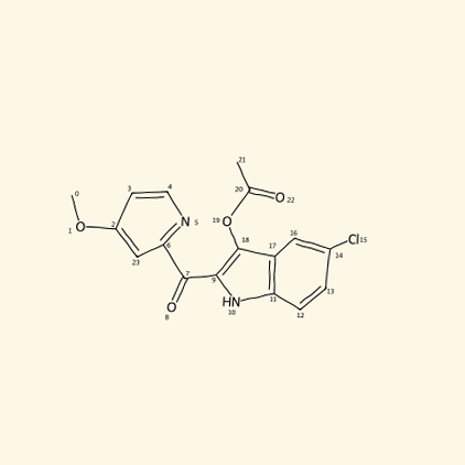 COc1ccnc(C(=O)c2[nH]c3ccc(Cl)cc3c2OC(C)=O)c1